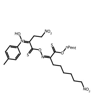 CCCCCOC(=S)C(CCCCCC[N+](=O)[O-])=NOC(=S)C(CC[N+](=O)[O-])=[N+](O)c1ccc(C)cc1